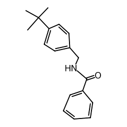 CC(C)(C)c1ccc(CNC(=O)c2ccccc2)cc1